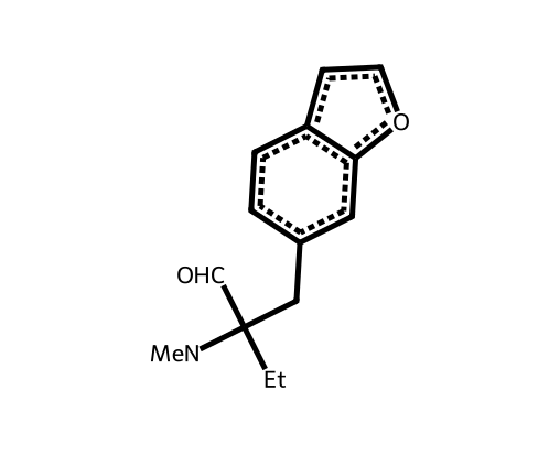 CCC(C=O)(Cc1ccc2ccoc2c1)NC